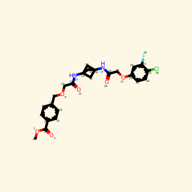 COC(=O)c1ccc(COCC(=O)NC23CC(NC(=O)COc4ccc(Cl)c(F)c4)(C2)C3)cc1